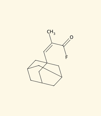 CC(=CC12CC3CC(CC(C3)C1)C2)C(=O)F